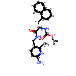 Cc1nc(N)ccc1CNC(=O)[C@H](Cc1cccc2ccccc12)NC(=O)OC(C)(C)C